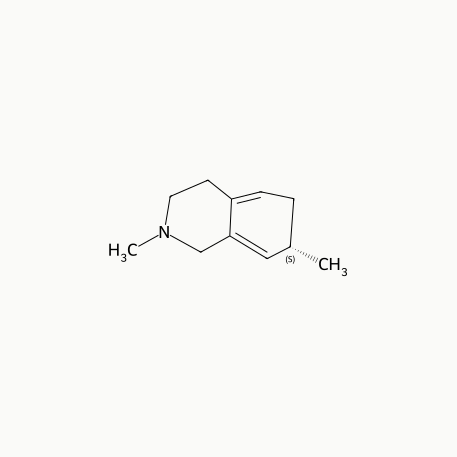 C[C@@H]1C=C2CN(C)CCC2=CC1